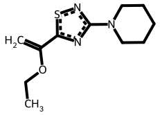 C=C(OCC)c1nc(N2CCCCC2)ns1